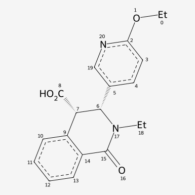 CCOc1ccc([C@H]2[C@@H](C(=O)O)c3ccccc3C(=O)N2CC)cn1